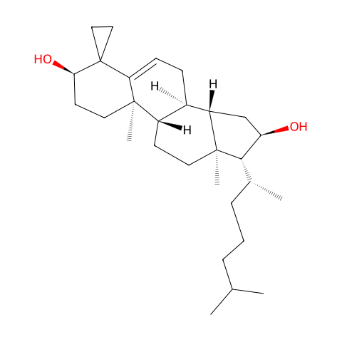 CC(C)CCC[C@@H](C)[C@H]1[C@H](O)C[C@H]2[C@@H]3CC=C4C5(CC5)[C@H](O)CC[C@]4(C)[C@H]3CC[C@]12C